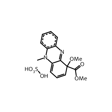 COC(=O)C1(OC)C=CC=C2C1=Nc1ccccc1N2C.O=S(=O)(O)O